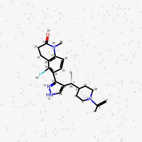 C=C(C)N1CCC([C@@H](C)c2c[nH]nc2-c2ccc3c(c2F)CCC(=O)N3C)CC1